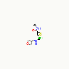 Cl.O=C(NC1CC1)c1csc([C@@H]2C[C@H]2NCC2CCOCC2)c1